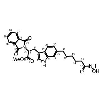 COC(=O)[C@H](Cc1c[nH]c2cc(CCCCCC(=O)NO)ccc12)N1C(=O)c2ccccc2C1=O